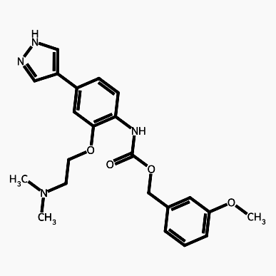 COc1cccc(COC(=O)Nc2ccc(-c3cn[nH]c3)cc2OCCN(C)C)c1